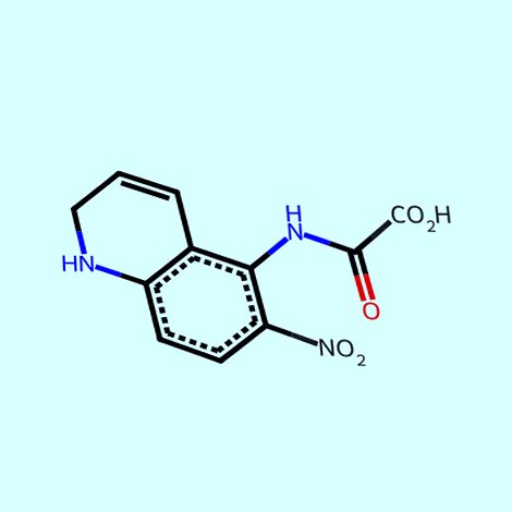 O=C(O)C(=O)Nc1c([N+](=O)[O-])ccc2c1C=CCN2